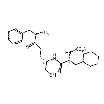 CN(Cc1ccccc1)C(=O)CC[C@@H](CO)NC(=O)[C@H](CC1CCCCC1)NC(=O)O